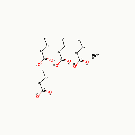 CCCC(=O)[O-].CCCC(=O)[O-].CCCC(=O)[O-].CCCC(=O)[O-].[Pb+4]